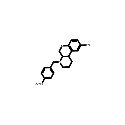 CC(=O)Nc1ccc(CN2CCCC3c4cc(C#N)ccc4OCC32)cc1